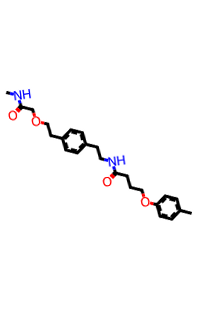 CNC(=O)COCCc1ccc(CCNC(=O)CCCOc2ccc(C)cc2)cc1